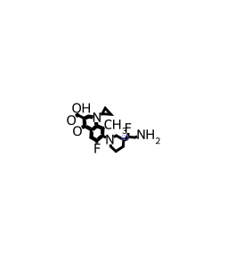 Cc1c(N2CCC/C(=C(/F)CN)C2)c(F)cc2c(=O)c(C(=O)O)cn(C3CC3)c12